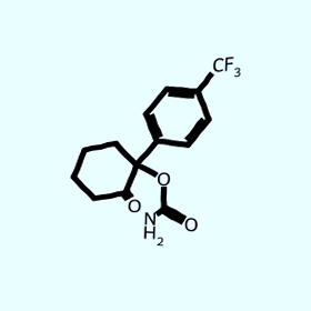 NC(=O)OC1(c2ccc(C(F)(F)F)cc2)CCCCC1=O